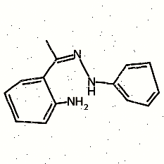 CC(=NNc1ccccc1)c1ccccc1N